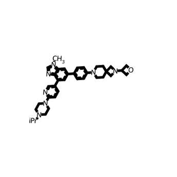 CC(C)N1CCN(c2ccc(-c3cc(-c4ccc(N5CCC6(CC5)CN(C5COC5)C6)cc4)cc4c3ncn4C)cn2)CC1